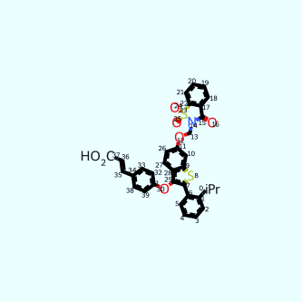 CC(C)c1ccccc1-c1sc2cc(OCN3C(=O)c4ccccc4S3(=O)=O)ccc2c1Oc1ccc(C=CC(=O)O)cc1